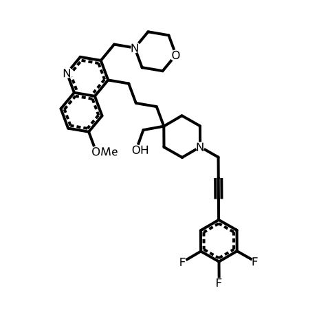 COc1ccc2ncc(CN3CCOCC3)c(CCCC3(CO)CCN(CC#Cc4cc(F)c(F)c(F)c4)CC3)c2c1